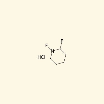 Cl.FC1CCCCN1F